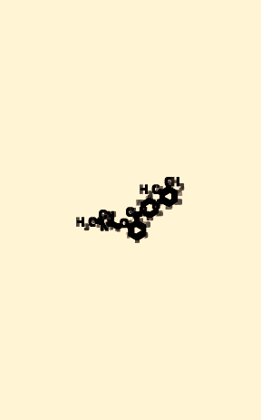 Cc1nc(COc2ccccc2C(=O)N2CCN(c3cccc(C)c3C)CC2)no1